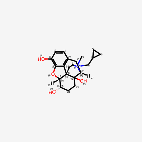 C[N+]1(CC2CC2)CC[C@]23c4c5ccc(O)c4O[C@H]2[C@@H](O)CCC3(O)[C@H]1C5